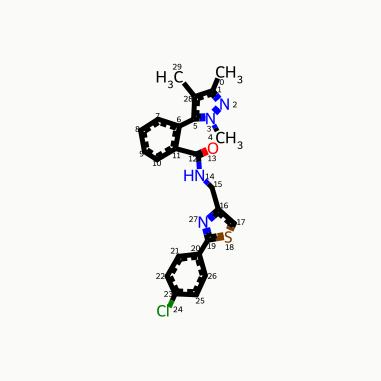 Cc1nn(C)c(-c2ccccc2C(=O)NCc2csc(-c3ccc(Cl)cc3)n2)c1C